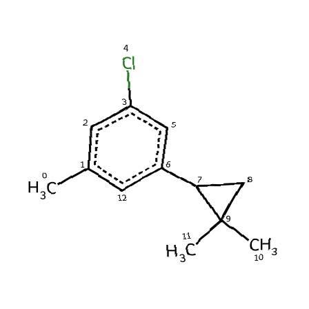 Cc1cc(Cl)cc(C2CC2(C)C)c1